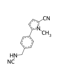 Cn1c(C#N)ccc1-c1ccc(CNC#N)cc1